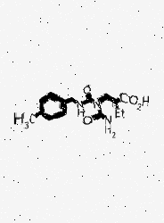 CC[C@@H](CN(C(N)=O)C(=O)NCc1ccc(C)cc1)C(=O)O